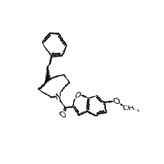 COc1ccc2cc(C(=O)N3CCC(Cc4ccccc4)CC3)oc2c1